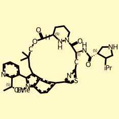 CCn1c(-c2cccnc2[C@H](C)OC)c2c3cc(ccc31)-c1csc(n1)C[C@H](NC(=O)[C@@H]1CNCC1C(C)C)C(=O)N1CCC[C@H](N1)C(=O)OCC(C)(C)C2